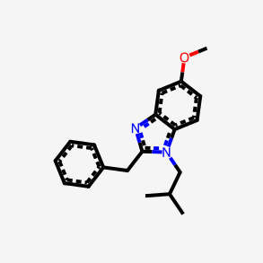 COc1ccc2c(c1)nc(Cc1ccccc1)n2CC(C)C